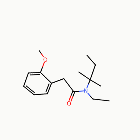 CCN(C(=O)Cc1ccccc1OC)C(C)(C)CC